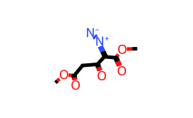 COC(=O)CC(=O)C(=[N+]=[N-])C(=O)OC